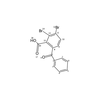 O=C(c1ccccc1)c1ccc(Br)c(Br)c1C(=O)O